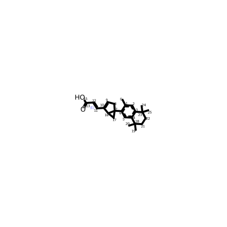 Cc1cc2c(cc1C13CC=C(/C=C/C(=O)O)C1C3)C(C)(C)CCC2(C)C